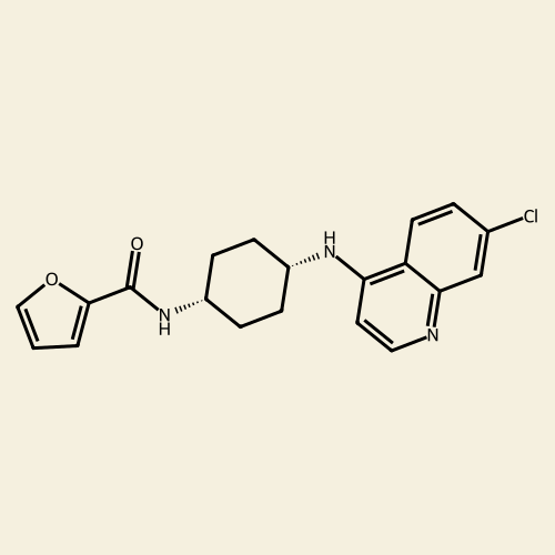 O=C(N[C@H]1CC[C@@H](Nc2ccnc3cc(Cl)ccc23)CC1)c1ccco1